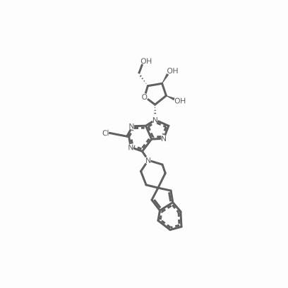 OC[C@H]1O[C@@H](n2cnc3c(N4CCC5(C=c6ccccc6=C5)CC4)nc(Cl)nc32)[C@H](O)[C@@H]1O